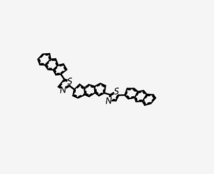 c1ccc2cc3cc(-c4cnc(-c5ccc6cc7cc(-c8ncc(-c9ccc%10cc%11ccccc%11cc%10c9)s8)ccc7cc6c5)s4)ccc3cc2c1